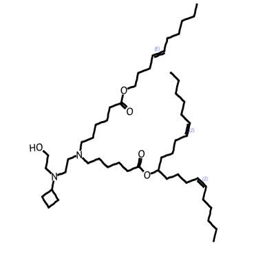 CCCCC/C=C\CCCC(CCC/C=C\CCCCC)OC(=O)CCCCCN(CCCCCC(=O)OCCC/C=C/CCCCC)CCN(CCO)C1CCC1